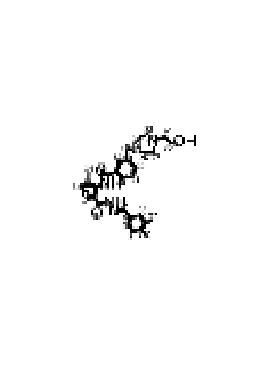 Cc1ccc(/C=N/NC(=O)c2scc(C)c2NC(=O)c2cccc(CN3CCN(CCO)CC3)c2)cc1C